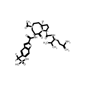 C=C(N)CC[C@H](NC(=O)[C@@H]1CC[C@@H]2CCN(C(C)=O)C[C@H](NC(=O)c3cc4cc(C(F)(F)P(=O)(O)O)ccc4s3)C(=O)N21)C(C)C